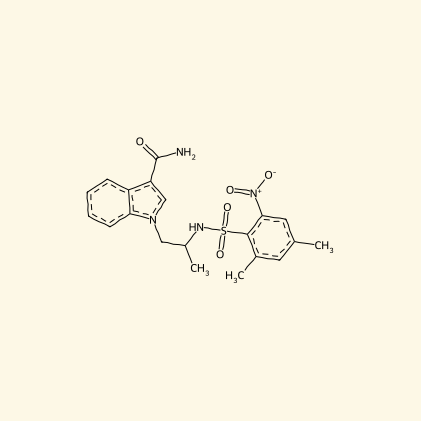 Cc1cc(C)c(S(=O)(=O)NC(C)Cn2cc(C(N)=O)c3ccccc32)c([N+](=O)[O-])c1